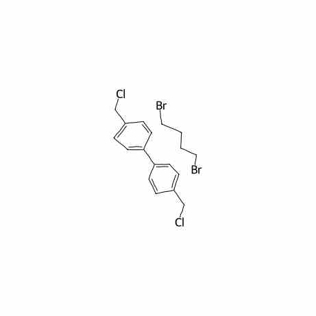 BrCCCCBr.ClCc1ccc(-c2ccc(CCl)cc2)cc1